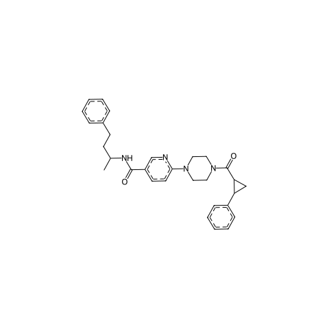 CC(CCc1ccccc1)NC(=O)c1ccc(N2CCN(C(=O)C3CC3c3ccccc3)CC2)nc1